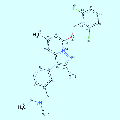 CCN(C)Cc1cccc(-c2c(C)nn3c(OCc4c(F)cccc4F)cc(C)cc23)c1